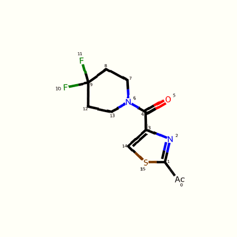 CC(=O)c1nc(C(=O)N2CCC(F)(F)CC2)cs1